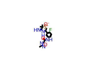 Cc1noc(C(=O)Nc2ccc(F)c(C3C[S+]([O-])C(C)(C)C(=N)N3)c2)n1